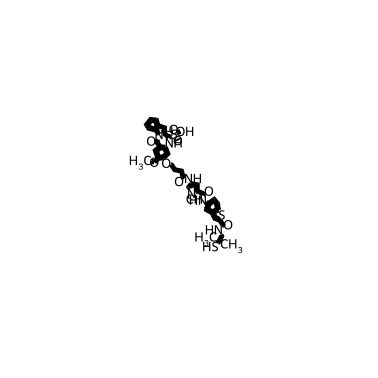 COc1cc2c(cc1OCCCC(=O)Nc1cc(C(=O)Nc3ccc4sc(C(=O)NCC(C)(C)S)cc4c3)n(C)c1)NC(S(=O)(=O)O)[C@@H]1Cc3ccccc3N1C2=O